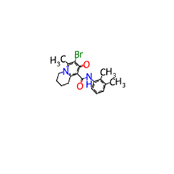 Cc1cccc(NC(=O)c2c3n(c(C)c(Br)c2=O)CCCC3)c1C